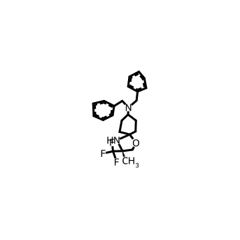 C[C@]1(C(F)(F)F)COC2(CCC(N(Cc3ccccc3)Cc3ccccc3)CC2)N1